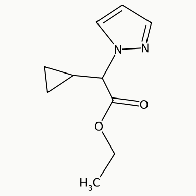 CCOC(=O)C(C1CC1)n1cccn1